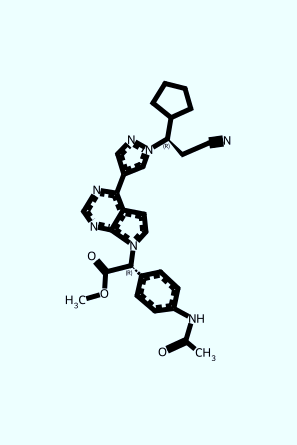 COC(=O)[C@@H](c1ccc(NC(C)=O)cc1)n1ccc2c(-c3cnn([C@H](CC#N)C4CCCC4)c3)ncnc21